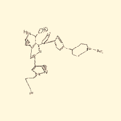 CC(=O)N1CCC(c2ccc(Nc3nc(-c4cnn(CCC(C)C)c4)cc4c3C(C=O)NC=C4)cc2)CC1